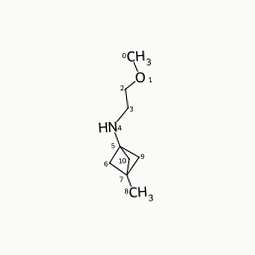 COCCNC12CC(C)(C1)C2